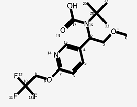 COCC(c1ccc(OCC(F)(F)F)nc1)N(C(=O)O)C(C)(C)C